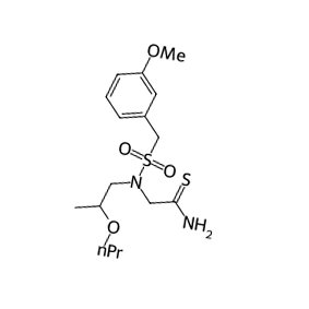 CCCOC(C)CN(CC(N)=S)S(=O)(=O)Cc1cccc(OC)c1